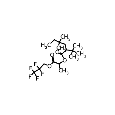 CCC(C)(C)CC(C(=O)OC(C)C(=O)OCC(F)(F)C(F)(F)F)C(C)(C)C